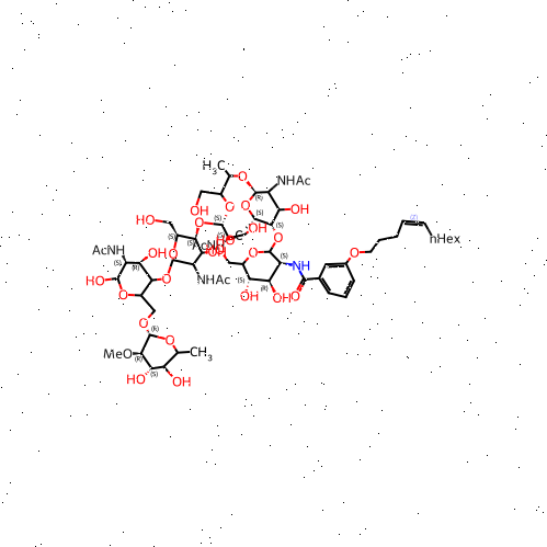 CCCCCC/C=C\CCCOc1cccc(C(=O)N[C@@H]2C(O[C@H]3C(O)C(NC(C)=O)[C@H](OC(C)C(CO)O[C@@H](O[C@H]4C(O)C(NC(C)=O)C(OC5C(CO[C@@H]6OC(C)C(O)[C@H](O)[C@H]6OC)OC(O)[C@@H](NC(C)=O)[C@H]5O)O[C@H]4CO)[C@H](CO)NC(C)=O)O[C@H]3CO)OC(CO)[C@@H](O)[C@@H]2O)c1